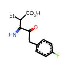 CCC(C(=N)C(=O)Cc1ccc(F)cc1)C(=O)O